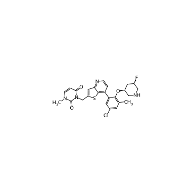 Cc1cc(Cl)cc(-c2ccnc3cc(Cn4c(=O)ccn(C)c4=O)sc23)c1O[C@@H]1CNC[C@H](F)C1